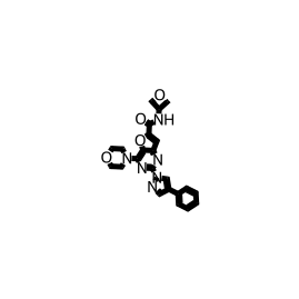 O=C(NC1COC1)c1cc2nc(-n3cc(-c4ccccc4)cn3)nc(N3CCOCC3)c2o1